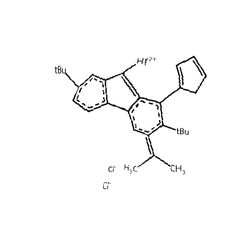 CC(C)=c1cc2c(c(C3=CC=CC3)c1C(C)(C)C)=[C]([Hf+2])c1cc(C(C)(C)C)ccc1-2.[Cl-].[Cl-]